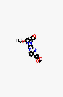 COc1ccc(C2(CNC3CCN(c4cccc(-c5ccc6c(c5)OCCO6)c4C#N)CC3)CCOCC2)cc1